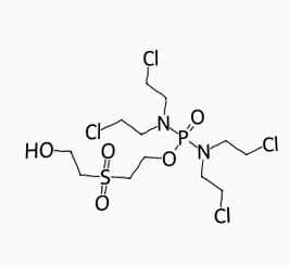 O=P(OCCS(=O)(=O)CCO)(N(CCCl)CCCl)N(CCCl)CCCl